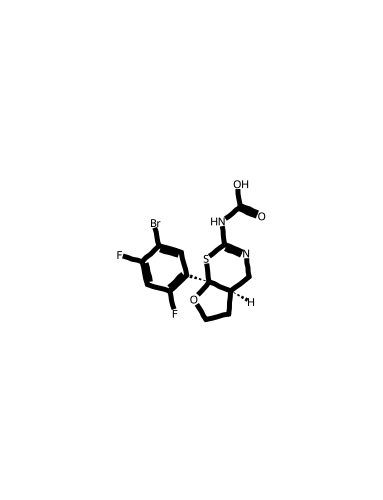 O=C(O)NC1=NC[C@H]2CCO[C@@]2(c2cc(Br)c(F)cc2F)S1